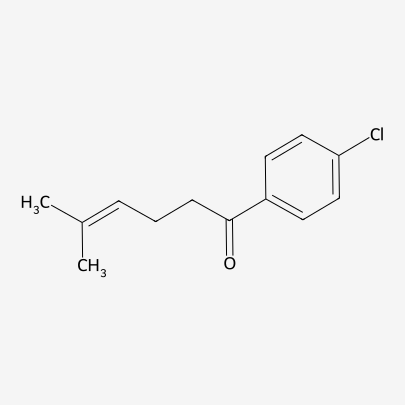 CC(C)=CCCC(=O)c1ccc(Cl)cc1